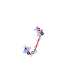 CNc1nc(Nc2ccc(C(=O)N3CCN(C(=O)CCOCCOCCOCCOCCNc4cccc5c4C(=O)N(C4CCC(=O)NC4=O)C5=O)CC3)cc2OC)ncc1C(F)(F)F